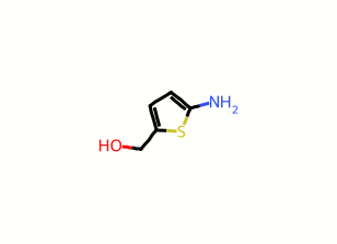 Nc1ccc(CO)s1